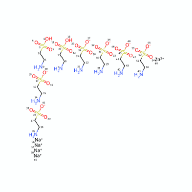 NCCS(=O)(=O)O.NCCS(=O)(=O)O.NCCS(=O)(=O)[O-].NCCS(=O)(=O)[O-].NCCS(=O)(=O)[O-].NCCS(=O)(=O)[O-].NCCS(=O)(=O)[O-].NCCS(=O)(=O)[O-].[Na+].[Na+].[Na+].[Na+].[Zn+2]